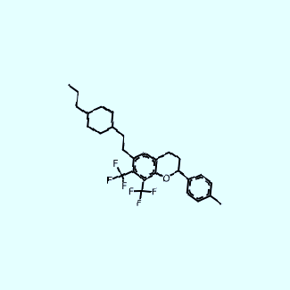 CCCC1CCC(CCc2cc3c(c(C(F)(F)F)c2C(F)(F)F)OC(c2ccc(C)cc2)CC3)CC1